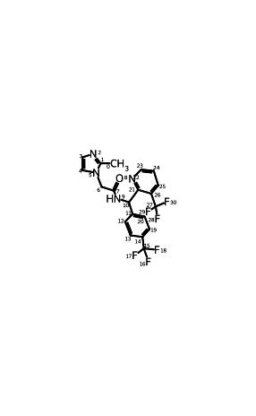 Cc1nccn1CC(=O)NC(c1ccc(C(F)(F)F)cc1)c1ncccc1C(F)(F)F